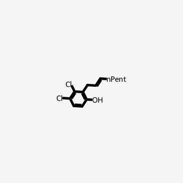 CCCCC/C=C/Cc1c(O)ccc(Cl)c1Cl